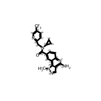 Cn1ncc2c(N)nc3ccc(C(=O)N(Cc4ccc(C(F)(F)F)cn4)C4CC4)cc3c21